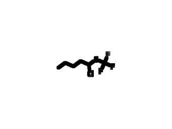 CCCCC(Cl)SC(F)(F)F